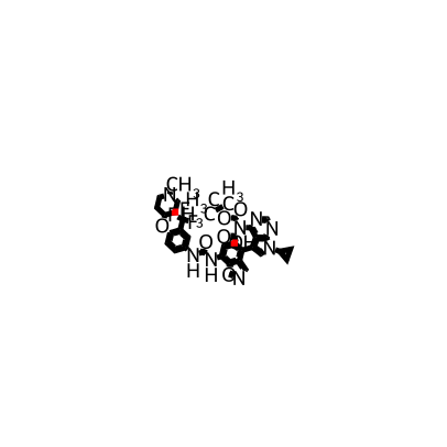 CN1CCC(Oc2ccc(NC(=O)Nc3ccc(-c4cn(C5CC5)c5ncnc(N(C(=O)O)C(=O)OC(C)(C)C)c45)c4cnoc34)cc2C(F)(F)F)CC1